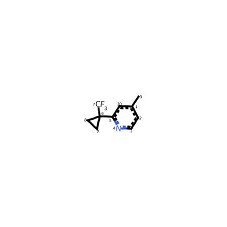 Cc1ccnc(C2(C(F)(F)F)CC2)c1